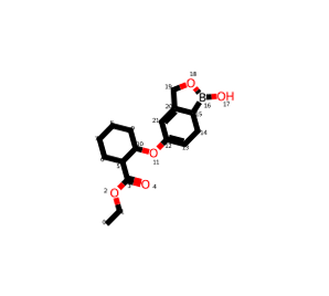 CCOC(=O)C1CCCCC1OC1=CCC2B(O)OCC2=C1